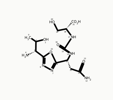 CC(O)[C@@H](N)c1nnc([C@@H](CC(N)=O)NC(=O)N[C@H](CO)C(=O)O)o1